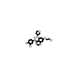 Fc1ccc(Nc2ncnc3cc(OCCCl)cc(OC4CCOC4)c23)cc1Cl